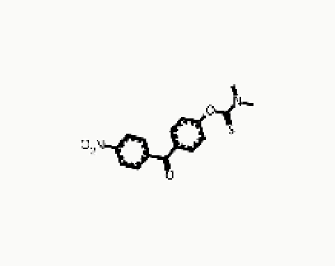 CN(C)C(=S)Oc1ccc(C(=O)c2ccc([N+](=O)[O-])cc2)cc1